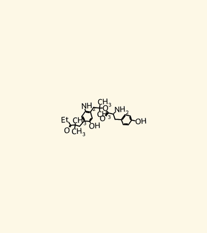 CCC(=O)C(C)(C)Cc1cc(N)c(CC(C)(C)OC(=O)[C@@H](N)Cc2ccc(O)cc2)cc1O